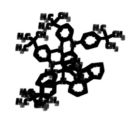 C=CC(C)(C(C)C)N(c1ccc(C(C)(C)C)cc1)c1cccc2c3ccccc3n(-c3cc4c5c(c3)N(c3ccc(C(C)(C)C)cc3)c3ccc(C(C)(C)C)cc3B5c3cc(C(C)(C)C)ccc3N4c3ccc(C(C)(C)C)cc3)c12